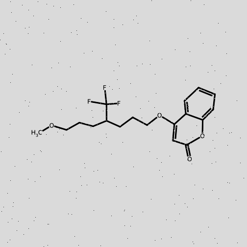 COCCCC(CCCOc1cc(=O)oc2ccccc12)C(F)(F)F